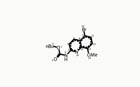 CCCCOC(=O)Nc1ccc2c(Br)ccc(OC)c2n1